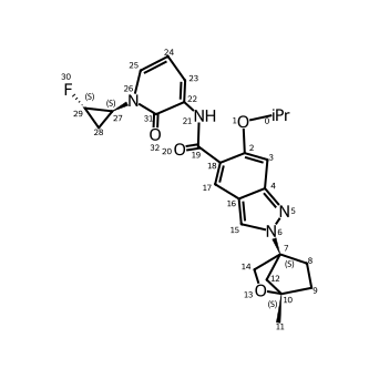 CC(C)Oc1cc2nn([C@@]34CC[C@@](C)(C3)OC4)cc2cc1C(=O)Nc1cccn([C@H]2C[C@@H]2F)c1=O